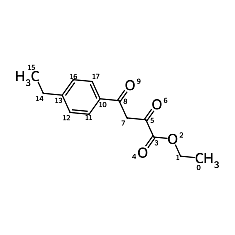 CCOC(=O)C(=O)CC(=O)c1ccc(CC)cc1